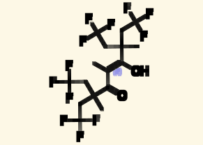 C/C(C(=O)C(C)(CC(F)(F)F)CC(F)(F)F)=C(/O)C(C)(CC(F)(F)F)CC(F)(F)F